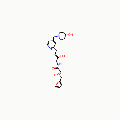 O=C(C[S+]([O-])Cc1ccco1)NCC(O)=CCc1cc(CN2CCC(O)CC2)ccn1